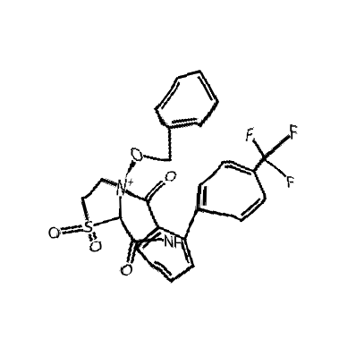 NC(=O)C1[N@@+](OCc2ccccc2)(C(=O)c2ccccc2-c2ccc(C(F)(F)F)cc2)CCS1(=O)=O